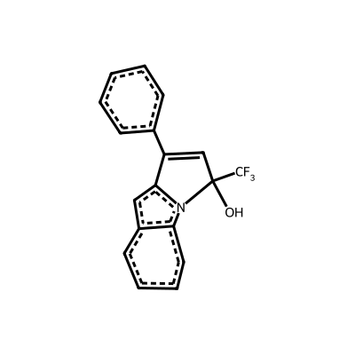 OC1(C(F)(F)F)C=C(c2ccccc2)c2cc3ccccc3n21